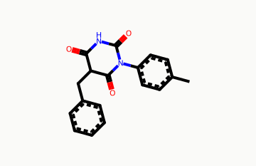 Cc1ccc(N2C(=O)NC(=O)C(Cc3ccccc3)C2=O)cc1